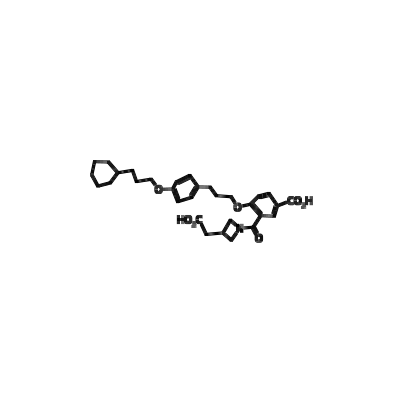 O=C(O)CC1CN(C(=O)c2cc(C(=O)O)ccc2OCCCc2ccc(OCCCC3CCCCC3)cc2)C1